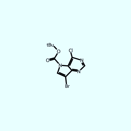 CC(C)(C)OC(=O)n1cc(Br)c2ncnc(Cl)c21